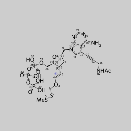 CSSCO/C=C/[C@H]1C[C@H](Cn2cc(C#CCNC(C)=O)c3c(N)ncnc32)O[C@@H]1COP(=O)(O)OP(=O)(O)OP(=O)(O)O